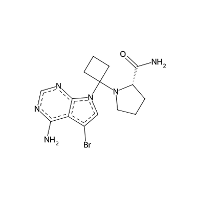 NC(=O)[C@@H]1CCCN1C1(n2cc(Br)c3c(N)ncnc32)CCC1